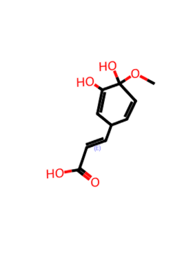 COC1(O)C=CC(/C=C/C(=O)O)C=C1O